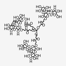 CCNC(=O)CCOCC(COCCC(=O)NCCO[C@H]1O[C@H](CO[C@H]2O[C@H](CO)[C@@H](O)[C@H](O)[C@@H]2O)[C@@H](O)[C@H](O[C@H]2O[C@H](CO)[C@@H](O)[C@H](O)[C@@H]2O)[C@@H]1O)(COCCC(=O)NCCO[C@H]1O[C@H](CO[C@H]2O[C@H](CO)[C@@H](O)[C@H](O)[C@@H]2O)[C@@H](O)[C@H](O[C@H]2O[C@H](CO)[C@@H](O)[C@H](O)[C@@H]2O)[C@@H]1O)COCCC(=O)NCCO[C@H]1O[C@H](CO[C@H]2O[C@H](CO)[C@@H](O)[C@H](O)[C@@H]2O)[C@@H](O)[C@H](O[C@H]2O[C@H](O)[C@@H](C)[C@H](O)[C@@H]2O)[C@@H]1O